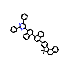 CC1(C)c2cc(-c3ccc(-c4ccc(-c5cc(-c6ccccc6)nc(-c6ccccc6)n5)c5ccccc45)c4ccccc34)ccc2-c2c1ccc1ccccc21